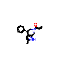 C=CC(=O)N1Cc2[nH]c(C)cc2[C@@H](c2ccccc2)C1